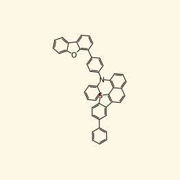 c1ccc(-c2ccc3sc4c(ccc5cccc(N(c6ccccc6)c6ccc(-c7cccc8c7oc7ccccc78)cc6)c54)c3c2)cc1